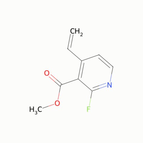 C=Cc1ccnc(F)c1C(=O)OC